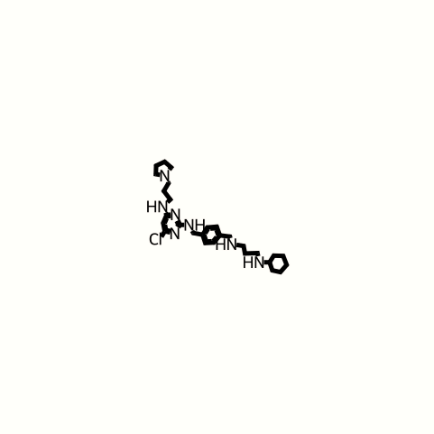 Clc1cc(NCCCN2CCCC2)nc(NCc2ccc(CNCCCNC3CCCCC3)cc2)n1